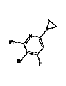 CC(C)c1nc(C2CC2)cc(F)c1Br